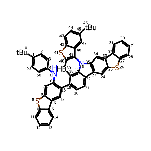 CC(C)(C)c1ccc(Nc2cc3sc4ccccc4c3cc2-c2ccc3c4cc5sc6ccccc6c5cc4n4c3c2Bc2sc3ccc(C(C)(C)C)cc3c2-4)cc1